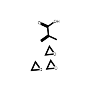 C1CO1.C1CO1.C1CO1.C=C(C)C(=O)O